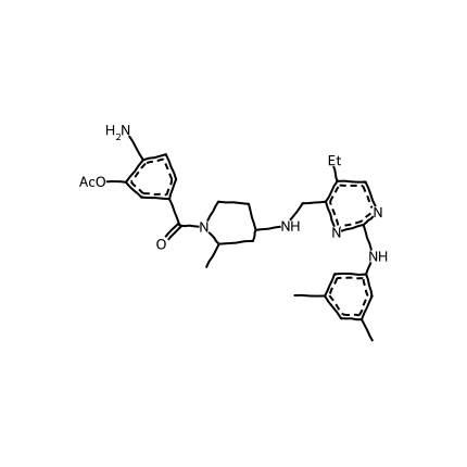 CCc1cnc(Nc2cc(C)cc(C)c2)nc1CNC1CCN(C(=O)c2ccc(N)c(OC(C)=O)c2)C(C)C1